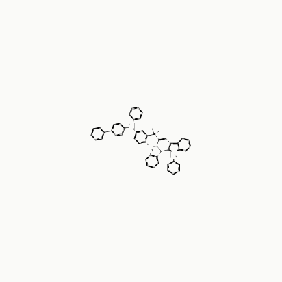 CC1(C)C2=Cc3c(n(-c4ccccc4)c4ccccc34)C3c4ccccc4N(c4ccc(N(c5ccccc5)c5ccc(-c6ccccc6)cc5)cc41)C23